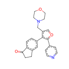 O=C1CCc2cc(-c3c(CN4CCOCC4)coc3-c3ccncc3)ccc21